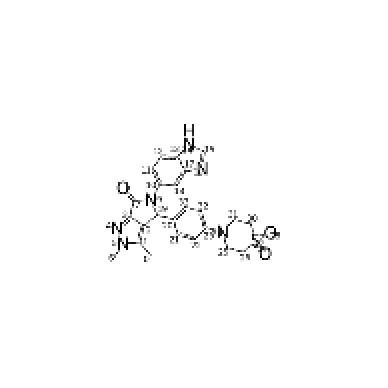 Cc1c2c(nn1C)C(=O)N(c1ccc3[nH]cnc3c1)C2c1ccc(N2CCS(=O)(=O)CC2)cc1